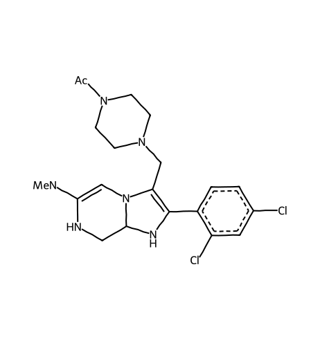 CNC1=CN2C(CN3CCN(C(C)=O)CC3)=C(c3ccc(Cl)cc3Cl)NC2CN1